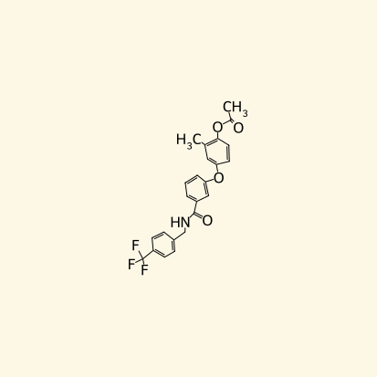 CC(=O)Oc1ccc(Oc2cccc(C(=O)NCc3ccc(C(F)(F)F)cc3)c2)cc1C